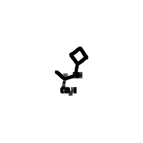 C[C@H](NC1CCC1)C(=O)O